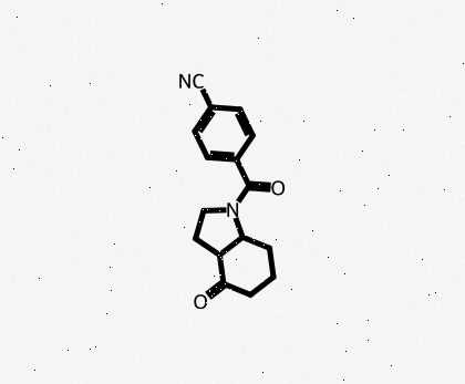 N#Cc1ccc(C(=O)N2CCC3C(=O)CCCC32)cc1